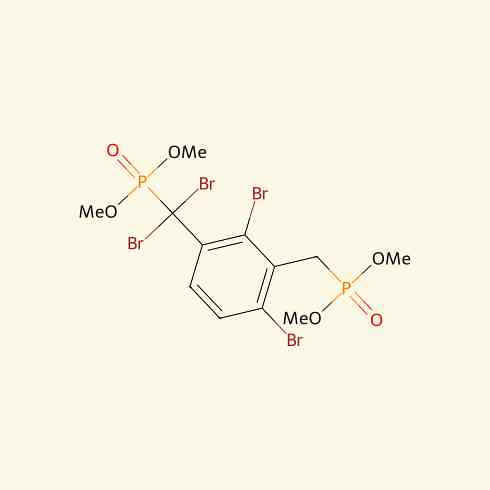 COP(=O)(Cc1c(Br)ccc(C(Br)(Br)P(=O)(OC)OC)c1Br)OC